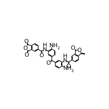 C=C1OC(=O)c2cc(C(=O)Nc3cc(C(=O)c4ccc(N)c(NC(=O)c5ccc6c(c5)C(=O)OC6=O)c4)ccc3N)ccc21